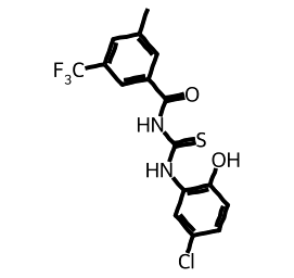 Cc1cc(C(=O)NC(=S)Nc2cc(Cl)ccc2O)cc(C(F)(F)F)c1